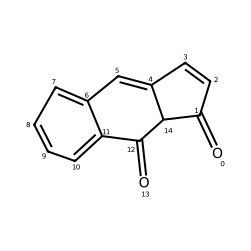 O=C1C=CC2=Cc3ccccc3C(=O)C12